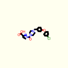 O=C(O)c1ccn(C(=O)N2CCN(Cc3ccc(Oc4ccc(Cl)cc4)cc3)CC2)n1